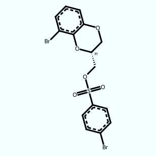 O=S(=O)(OC[C@H]1COc2cccc(Br)c2O1)c1ccc(Br)cc1